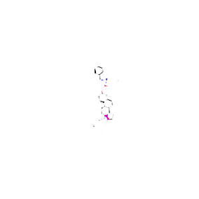 CC1C2CCC3C4CC=C5CC(OC(=O)N(C)Cc6ccccc6)CCC5(C)C4CCC32CN1C